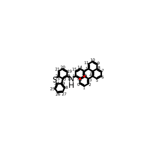 c1ccc(-c2cccc3cccc(-c4ccc(Nc5cccc6sc7ccccc7c56)cc4)c23)cc1